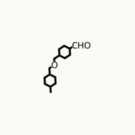 CC1CCC(COCC2CCC(C=O)CC2)CC1